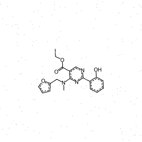 CCOC(=O)c1cnc(-c2ccccc2O)nc1N(C)Cc1ccco1